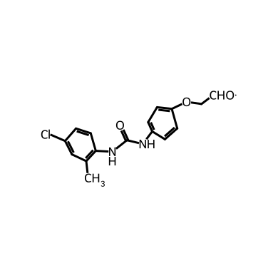 Cc1cc(Cl)ccc1NC(=O)Nc1ccc(OC[C]=O)cc1